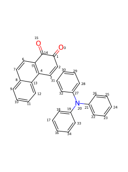 O=C1C=Cc2c(ccc3ccccc23)C1=O.c1ccc(N(c2ccccc2)c2ccccc2)cc1